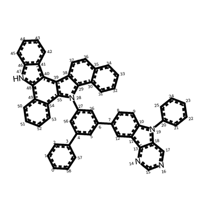 c1ccc(-c2cc(-c3ccc4c(c3)c3ncncc3n4-c3ccccc3)cc(-n3c4c5ccccc5ccc4c4c5c6ccccc6[nH]c5c5ccccc5c43)c2)cc1